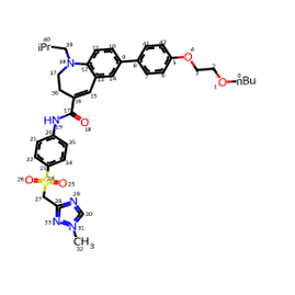 CCCCOCCOc1ccc(-c2ccc3c(c2)C=C(C(=O)Nc2ccc(S(=O)(=O)Cc4ncn(C)n4)cc2)CCN3CC(C)C)cc1